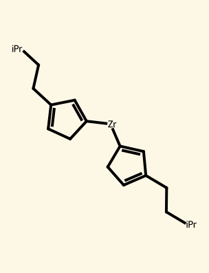 CC(C)CCC1=CC[C]([Zr][C]2=CC(CCC(C)C)=CC2)=C1